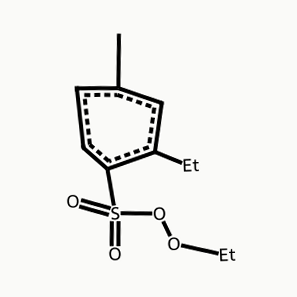 CCOOS(=O)(=O)c1ccc(C)cc1CC